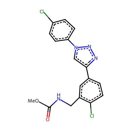 COC(=O)NCc1cc(-c2cn(-c3ccc(Cl)cc3)nn2)ccc1Cl